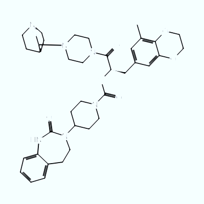 Cc1cc(C[C@@H](OC(=O)N2CCC(N3CCc4ccccc4NC3=O)CC2)C(=O)N2CCN(C3CN4CCC3CC4)CC2)cc2c1OCCO2